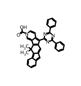 CC1(C)C2=c3ccccc3=CC2=Cc2c(-c3nc(-c4ccccc4)nc(-c4ccccc4)n3)c3ccn(C(=O)O)cc-3c21